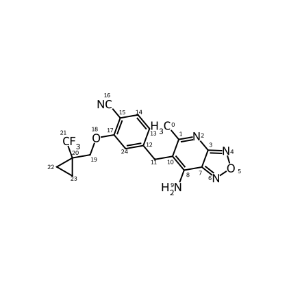 Cc1nc2nonc2c(N)c1Cc1ccc(C#N)c(OCC2(C(F)(F)F)CC2)c1